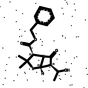 CC(O)[C@@H]1C(=O)N2[C@@H]1SC(C)(C)[C@@H]2C(=O)OCc1ccccc1